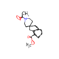 COC(=O)c1cccc2c1CC1(CCN(C(C)=O)CC1)C2